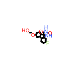 O=C1NC(=O)C2(N1)c1ccc(OCCO)cc1-c1ccc(F)cc12